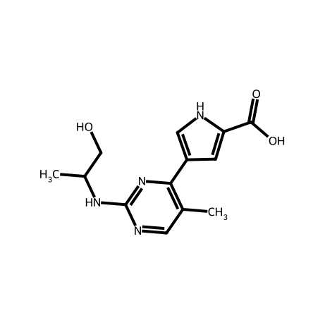 Cc1cnc(NC(C)CO)nc1-c1c[nH]c(C(=O)O)c1